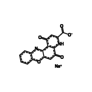 O=C([O-])c1cc(=O)c2c3nc4ccccc4oc-3cc(=O)c2[nH]1.[Na+]